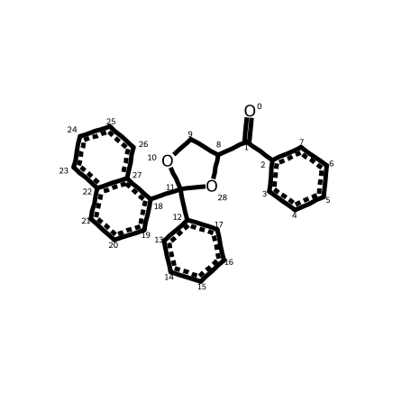 O=C(c1ccccc1)C1COC(c2ccccc2)(c2cccc3ccccc23)O1